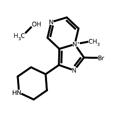 CO.C[N+]12C=CN=CC1=C(C1CCNCC1)N=C2Br